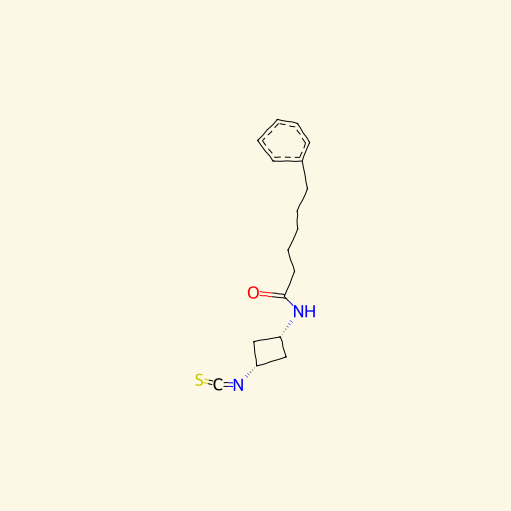 O=C(CCCCCc1ccccc1)N[C@H]1C[C@@H](N=C=S)C1